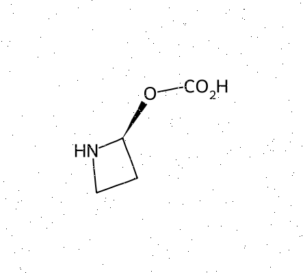 O=C(O)O[C@H]1CCN1